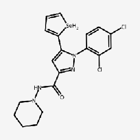 O=C(NN1CCCCC1)c1cc(C2=CC=C[SeH2]2)n(-c2ccc(Cl)cc2Cl)n1